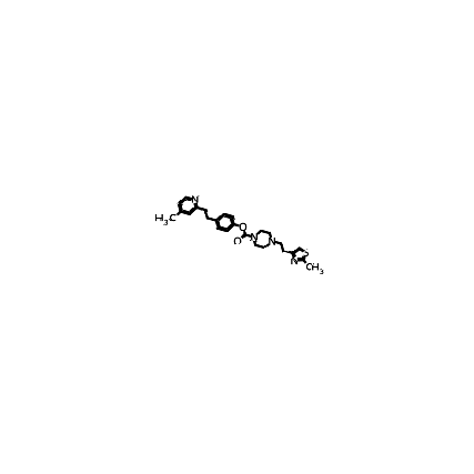 Cc1ccnc(CCc2ccc(OC(=O)N3CCN(CCc4csc(C)n4)CC3)cc2)c1